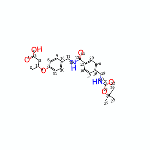 CC(CC(=O)O)Oc1ccc(CNC(=O)c2ccc(CNC(=O)OC(C)(C)C)cc2)cc1